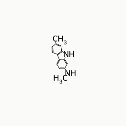 CNc1ccc2c(c1)[nH]c1cc(C)ccc12